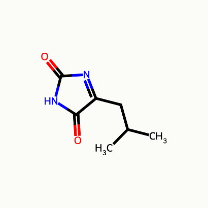 CC(C)CC1=NC(=O)NC1=O